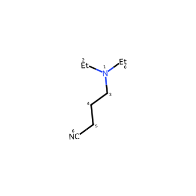 CCN(CC)CCCC#N